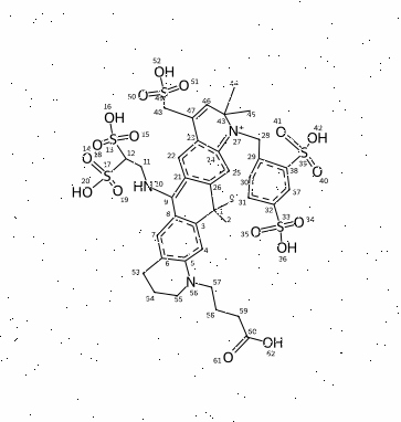 CC1(C)c2cc3c(cc2C(NCC(S(=O)(=O)O)S(=O)(=O)O)=c2cc4c(cc21)=[N+](Cc1ccc(S(=O)(=O)O)cc1S(=O)(=O)O)C(C)(C)C=C4CS(=O)(=O)O)CCCN3CCCC(=O)O